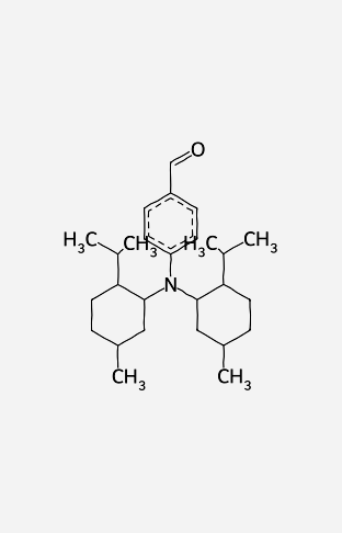 CC1CCC(C(C)C)C(N(c2ccc(C=O)cc2)C2CC(C)CCC2C(C)C)C1